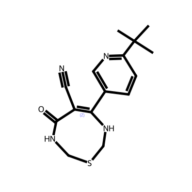 CC(C)(C)c1ccc(/C2=C(\C#N)C(=O)NCSCN2)cn1